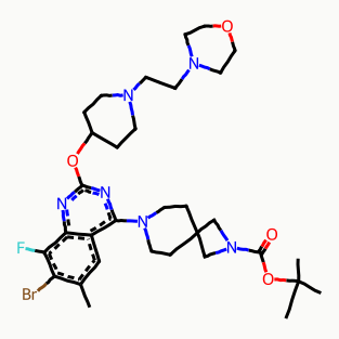 Cc1cc2c(N3CCC4(CC3)CN(C(=O)OC(C)(C)C)C4)nc(OC3CCN(CCN4CCOCC4)CC3)nc2c(F)c1Br